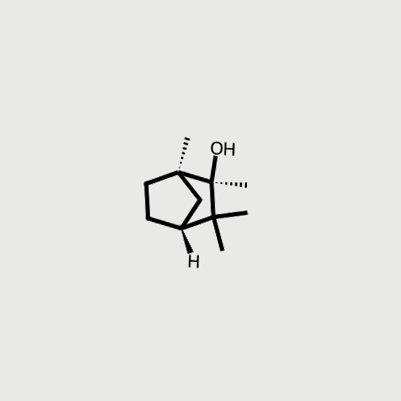 CC1(C)[C@@H]2CC[C@](C)(C2)[C@@]1(C)O